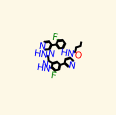 CCCC(=O)Nc1cncc(-c2cc(F)c3[nH]nc(-c4nc5c(-c6ccccc6F)ccnc5[nH]4)c3c2)c1